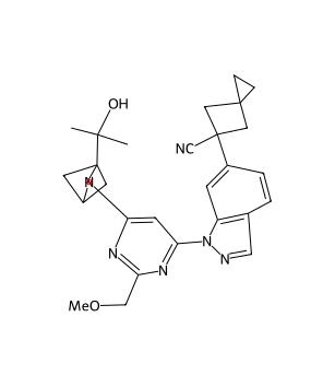 COCc1nc(N2CC3(C(C)(C)O)CC2C3)cc(-n2ncc3ccc(C4(C#N)CC5(CC5)C4)cc32)n1